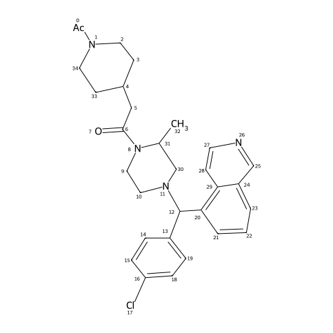 CC(=O)N1CCC(CC(=O)N2CCN(C(c3ccc(Cl)cc3)c3cccc4cnccc34)CC2C)CC1